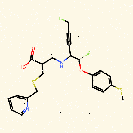 CSc1ccc(O[C@@H](F)C(C#CCF)NCC(CSCc2ccccn2)C(=O)O)cc1